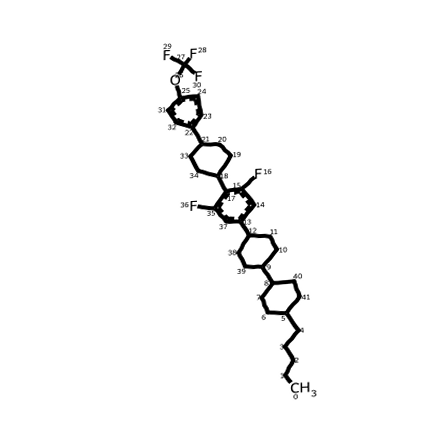 CCCCCC1CCC(C2CCC(c3cc(F)c(C4CCC(c5ccc(OC(F)(F)F)cc5)CC4)c(F)c3)CC2)CC1